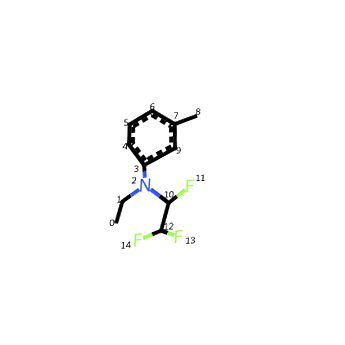 CCN(c1cccc(C)c1)C(F)C(F)F